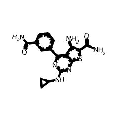 NC(=O)c1cccc(-c2nc(NC3CC3)nc3sc(C(N)=O)c(N)c23)c1